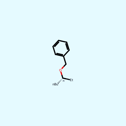 CCCC[C@@H](CC)OCc1ccccc1